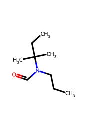 CCCN(C=O)C(C)(C)CC